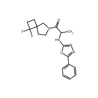 CC(Nc1nnc(-c2ccccc2)o1)C(=O)N1CCC2(CCC2(F)F)C1